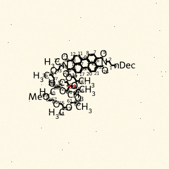 CCCCCCCCCCCCN1C(=O)c2ccc3c4ccc5c6c(ccc(c7ccc(c2c37)C1=O)c64)C(=O)N(C(C)COC(C)COC(C)COC(C)COC(C)COC(C)COC(C)COC(C)COC(C)COCCOC)C5=O